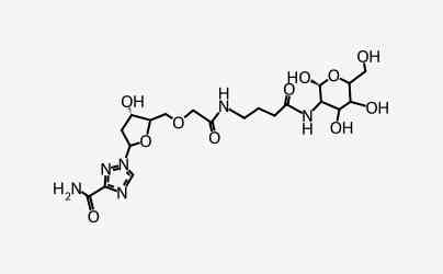 NC(=O)c1ncn(C2C[C@H](O)C(COCC(=O)NCCCC(=O)NC3C(O)C(O)C(CO)O[C@@H]3O)O2)n1